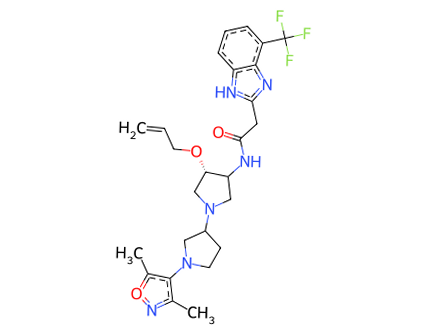 C=CCO[C@H]1CN(C2CCN(c3c(C)noc3C)C2)CC1NC(=O)Cc1nc2c(C(F)(F)F)cccc2[nH]1